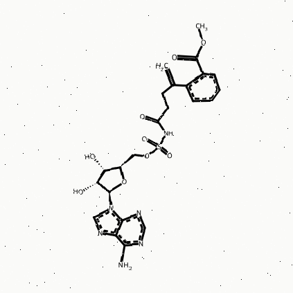 C=C(CCC(=O)NS(=O)(=O)OC[C@H]1O[C@@H](n2cnc3c(N)ncnc32)[C@H](O)[C@@H]1O)c1ccccc1C(=O)OC